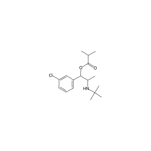 CC(C)C(=O)OC(c1cccc(Cl)c1)C(C)NC(C)(C)C